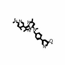 COc1cncc(-c2ccc(CN(C)c3cc(C)nc4c(-c5cnc(N(C)C)cc5C)c(C)nn34)cc2)c1